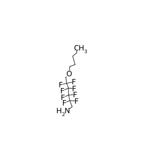 CCCCCOCC(F)(F)C(F)(F)C(F)(F)C(F)(F)CN